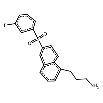 NCCCc1cccc2cc(S(=O)(=O)c3cccc(F)c3)ccc12